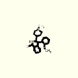 COc1ccccc1-c1c(C2CCN(C)CC2)[nH]c(=O)c2ccccc12